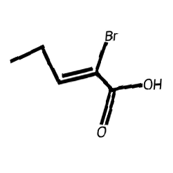 CCC=C(Br)C(=O)O